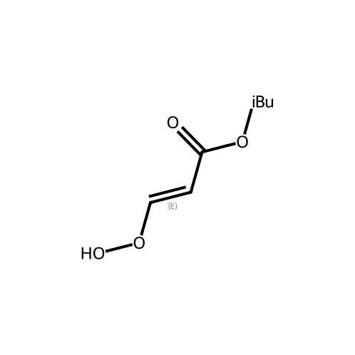 CCC(C)OC(=O)/C=C/OO